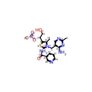 Cc1ncc(C[n+]2csc(CCO)c2C)c(N)n1.NC(=O)c1cccnc1.O=[N+]([O-])[O-]